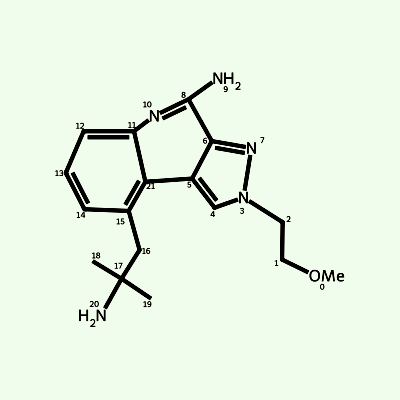 COCCn1cc2c(n1)c(N)nc1cccc(CC(C)(C)N)c12